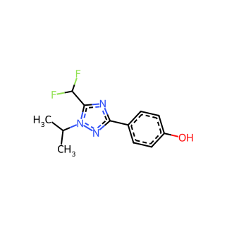 CC(C)n1nc(-c2ccc(O)cc2)nc1C(F)F